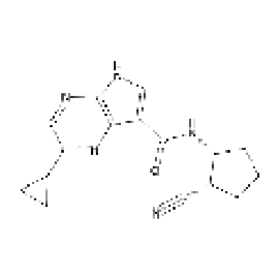 N#C[C@H]1CCC[C@H]1NC(=O)c1c[nH]c2ncc(C3CC3)nc12